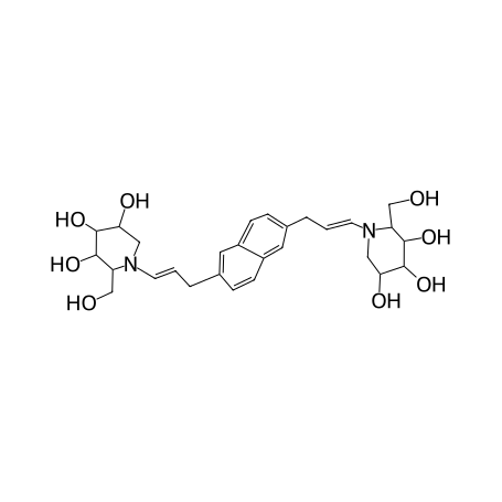 OCC1C(O)C(O)C(O)CN1/C=C/Cc1ccc2cc(C/C=C/N3CC(O)C(O)C(O)C3CO)ccc2c1